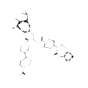 Nc1c(Cl)cc(C[C@@H](OC(=O)N2CCC(N3CCc4ccccc4NC3=O)CC2)C(=O)N2CCC(C3CCN(C(=O)O)CC3)CC2)cc1C(F)(F)F